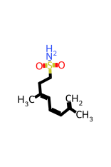 C=C(C)/C=C\C=C(/C)CCS(N)(=O)=O